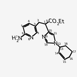 CCOC(=O)C(Cc1ccc(N)nc1)c1cn(C2C=CCCC2)cn1